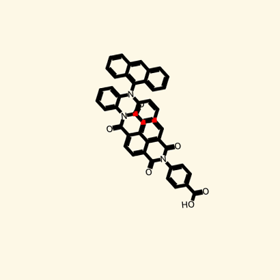 O=C(O)c1ccc(N2C(=O)c3ccc4c5c(ccc(c35)C2=O)C(=O)N(c2ccccc2N(c2ccccc2)c2c3ccccc3cc3ccccc23)C4=O)cc1